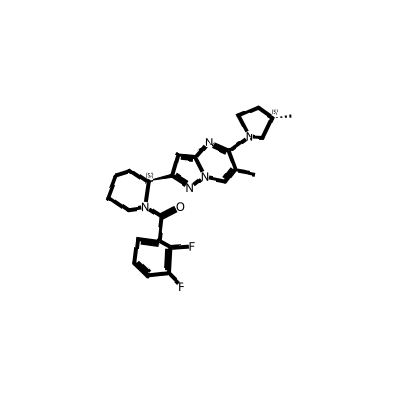 Cc1cn2nc([C@@H]3CCCCN3C(=O)c3cccc(F)c3F)cc2nc1N1CC[C@H](C)C1